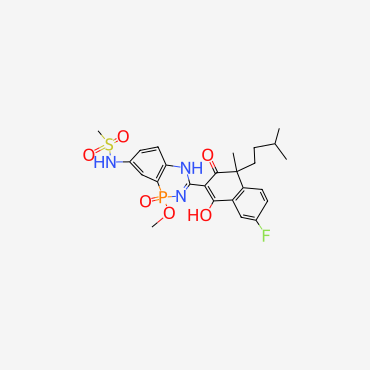 COP1(=O)N=C(C2=C(O)c3cc(F)ccc3C(C)(CCC(C)C)C2=O)Nc2ccc(NS(C)(=O)=O)cc21